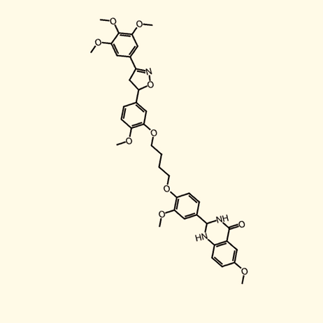 COc1ccc2c(c1)C(=O)NC(c1ccc(OCCCCOc3cc(C4CC(c5cc(OC)c(OC)c(OC)c5)=NO4)ccc3OC)c(OC)c1)N2